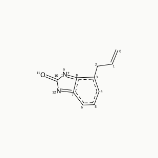 C=CCc1cccc2c1=[N+]C(=O)N=2